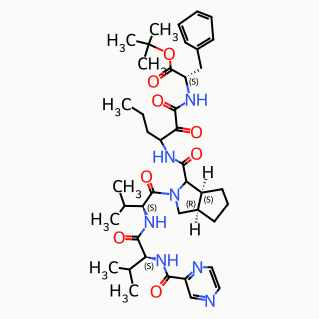 CCCC(NC(=O)C1[C@H]2CCC[C@H]2CN1C(=O)[C@@H](NC(=O)[C@@H](NC(=O)c1cnccn1)C(C)C)C(C)C)C(=O)C(=O)N[C@@H](Cc1ccccc1)C(=O)OC(C)(C)C